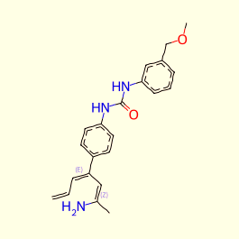 C=C/C=C(\C=C(\C)N)c1ccc(NC(=O)Nc2cccc(COC)c2)cc1